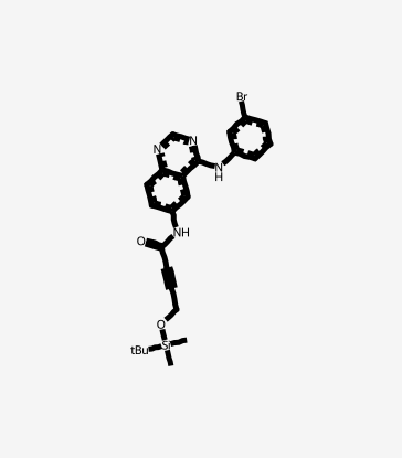 CC(C)(C)[Si](C)(C)OCC#CC(=O)Nc1ccc2ncnc(Nc3cccc(Br)c3)c2c1